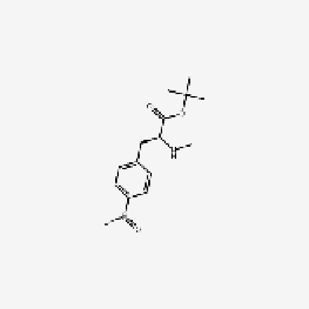 CN[C@@H](Cc1ccc([N+](=O)[O-])cc1)C(=O)OC(C)(C)C